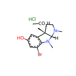 CC(=O)O.CN1CC[C@@]2(C)c3cc(O)cc(Br)c3N(C)[C@@H]12.Cl